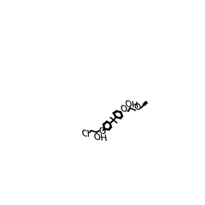 C#CCOCC(O)COc1ccc(C(C)(C)c2ccc(OCC(O)CCl)cc2)cc1